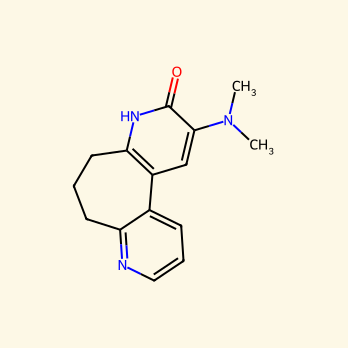 CN(C)c1cc2c([nH]c1=O)CCCc1ncccc1-2